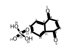 O=C1C=CC(=O)c2ccccc21.O=S(=O)(O)O